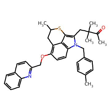 CC(=O)C(C)(C)Cc1c2c3c(c(OCc4ccc5ccccc5n4)ccc3n1Cc1ccc(C)cc1)CC(C)S2